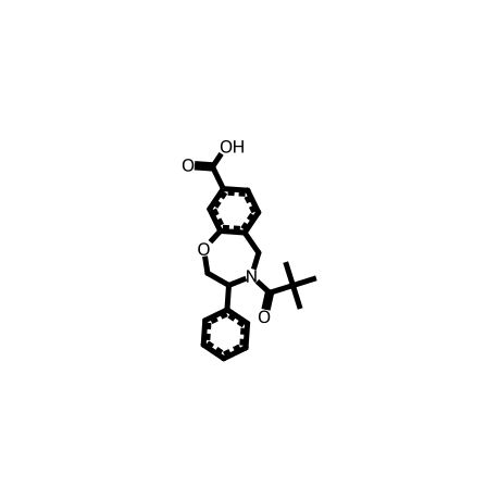 CC(C)(C)C(=O)N1Cc2ccc(C(=O)O)cc2OCC1c1ccccc1